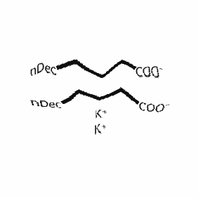 CCCCCCCCCCCCCC(=O)[O-].CCCCCCCCCCCCCC(=O)[O-].[K+].[K+]